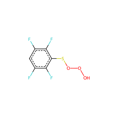 OOOSc1c(F)c(F)cc(F)c1F